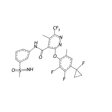 Cc1cc(C2(F)CC2)c(F)c(F)c1Oc1nnc(C(F)(F)F)c(C)c1C(=O)Nc1cccc(S(C)(=N)=O)c1